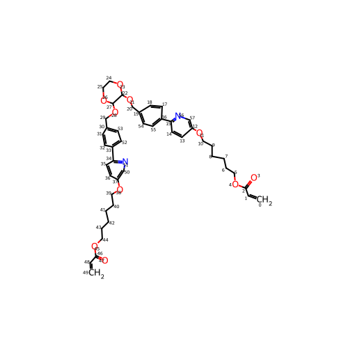 C=CC(=O)OCCCCCCOc1ccc(-c2ccc(COC3OCCOC3OCc3ccc(-c4ccc(OCCCCCCOC(=O)C=C)cn4)cc3)cc2)nc1